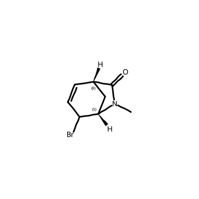 CN1C(=O)[C@H]2C=CC(Br)[C@@H]1C2